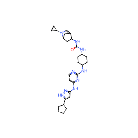 O=C(NC1CC2CC1=CN2C1CC1)N[C@H]1CC[C@H](Nc2nccc(Nc3cc(C4CCCC4)[nH]n3)n2)CC1